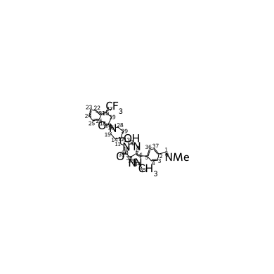 CNCc1ccc(-c2c3ncn(CC4(O)CCN(C(=O)CC(c5ccccc5)C(F)(F)F)CC4)c(=O)c3nn2C)cc1